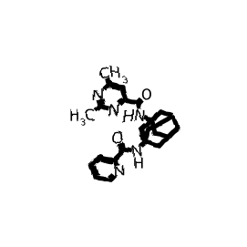 Cc1cc(C(=O)NC23CC4CC(CC(NC(=O)c5ccccn5)(C4)C2)C3)nc(C)n1